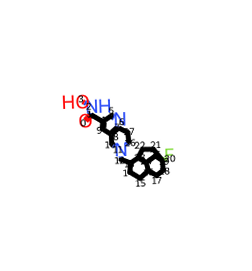 O=C(NO)c1cnc2c(c1)CN(CC1CCC3CCC4(F)CCC1C3C4)CC2